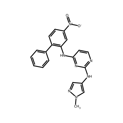 Cn1cc(Nc2nccc(Nc3cc([N+](=O)[O-])ccc3-c3ccccc3)n2)cn1